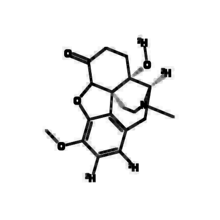 [2H]O[C@@]12CCC(=O)C3Oc4c(OC)c([2H])c([2H])c5c4[C@@]31CCN(C)[C@]2([2H])C5